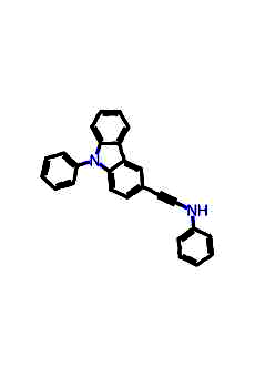 C(#Cc1ccc2c(c1)c1ccccc1n2-c1ccccc1)Nc1ccccc1